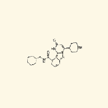 O=C(NCC1CCCCC1)c1cccc2nn3c(C4CCNCC4)cc(=O)[nH]c3c12